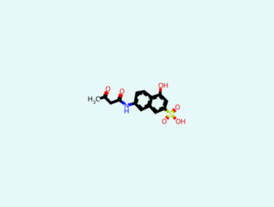 CC(=O)CC(=O)Nc1ccc2c(O)cc(S(=O)(=O)O)cc2c1